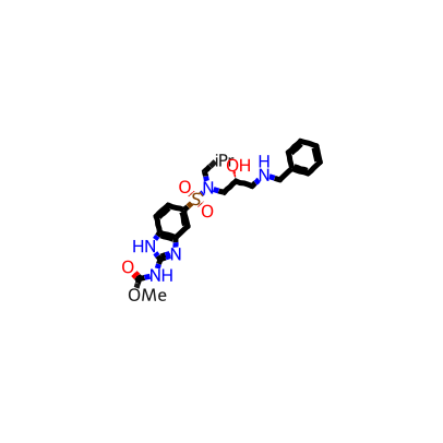 COC(=O)Nc1nc2cc(S(=O)(=O)N(CC(C)C)C[C@H](O)CNCc3ccccc3)ccc2[nH]1